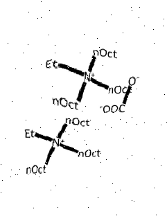 CCCCCCCC[N+](CC)(CCCCCCCC)CCCCCCCC.CCCCCCCC[N+](CC)(CCCCCCCC)CCCCCCCC.O=C([O-])[O-]